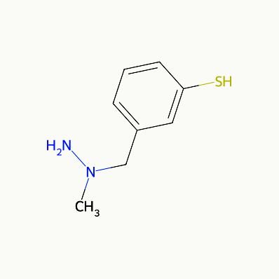 CN(N)Cc1cccc(S)c1